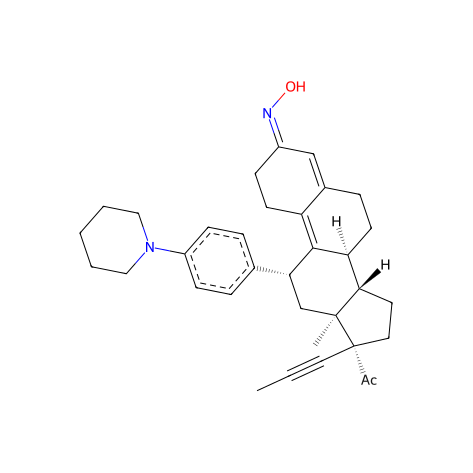 CC#C[C@]1(C(C)=O)CC[C@H]2[C@@H]3CCC4=CC(=NO)CCC4=C3[C@@H](c3ccc(N4CCCCC4)cc3)C[C@@]21C